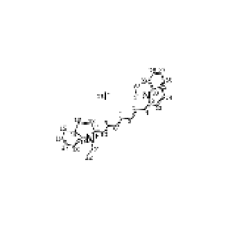 CCN1C(=CC=CC=CC=Cc2ccc3ccccc3[n+]2CC)C=Cc2ccccc21.[I-]